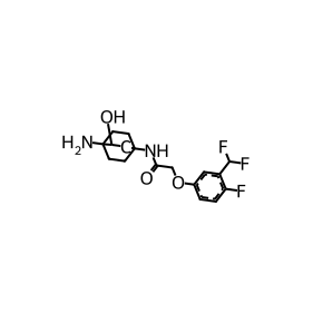 NC12CCC(NC(=O)COc3ccc(F)c(C(F)F)c3)(CC1)CC2O